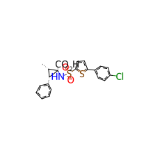 C[C@H]1[C@@H](c2ccccc2)[C@@]1(NS(=O)(=O)c1ccc(-c2ccc(Cl)cc2)s1)C(=O)O